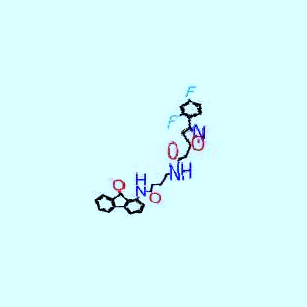 O=C(CC1CC(c2ccc(F)cc2F)=NO1)NCCCC(=O)Nc1cccc2c1C(=O)c1ccccc1-2